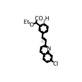 CCOC(C(=O)O)c1cccc(/C=C/c2ccc3ccc(Cl)cc3n2)c1